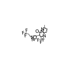 Cc1ccc2nc(C(F)(F)F)c(-c3cnn(CCC(F)(F)F)c3)c(=O)n2n1